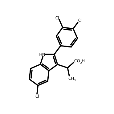 CC(C(=O)O)c1c(-c2ccc(Cl)c(Cl)c2)[nH]c2ccc(Cl)cc12